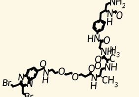 CC(NC(=O)[C@H](C)NC(=O)CCOCCOCCNC(=O)c1ccc2nc(CBr)c(CBr)nc2c1)C(=O)NCC(=O)Nc1ccc(CC(CN)NC=O)cc1